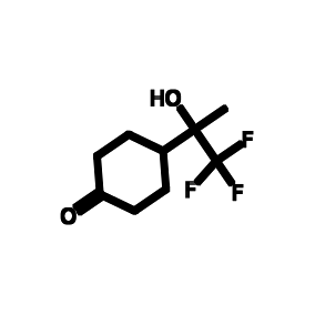 CC(O)(C1CCC(=O)CC1)C(F)(F)F